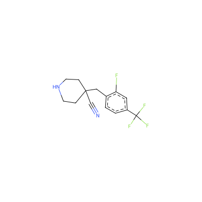 N#CC1(Cc2ccc(C(F)(F)F)cc2F)CCNCC1